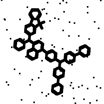 CC1(C)c2ccccc2-c2ccc(N(c3ccccc3)c3ccc(-c4ccc(N(c5ccc(-c6ccccc6)cc5)c5ccc(-c6ccccc6)cc5)cc4)c4ccccc34)cc21